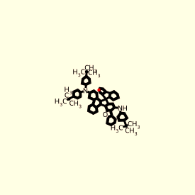 CC(C)(C)c1ccc(Nc2cc3c(c4oc5ccccc5c24)-c2c(c4ccc(N(c5ccc(C(C)(C)C)cc5)c5ccc(C(C)(C)C)cc5)cc4c4ccccc24)C32c3ccccc3-c3ccccc32)cc1